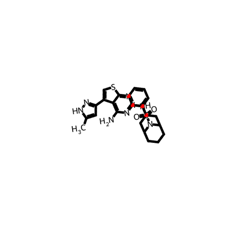 Cc1cc(-c2csc3nc(NC4CC5CCCC(C4)N5S(=O)(=O)c4ccccn4)nc(N)c23)n[nH]1